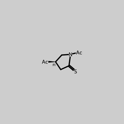 CC(=O)[C@@H]1CC(=S)N(C(C)=O)C1